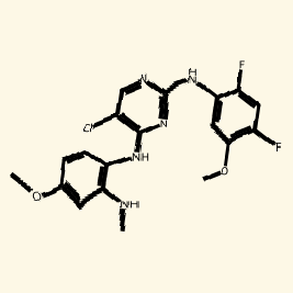 CNc1cc(OC)ccc1Nc1nc(Nc2cc(OC)c(F)cc2F)ncc1Cl